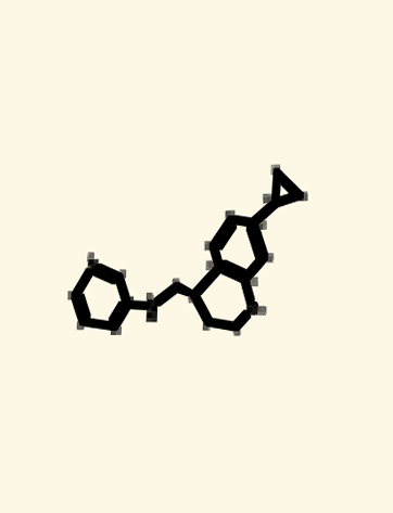 c1cncc(NC[C@@H]2CCOc3cc(C4CC4)ccc32)c1